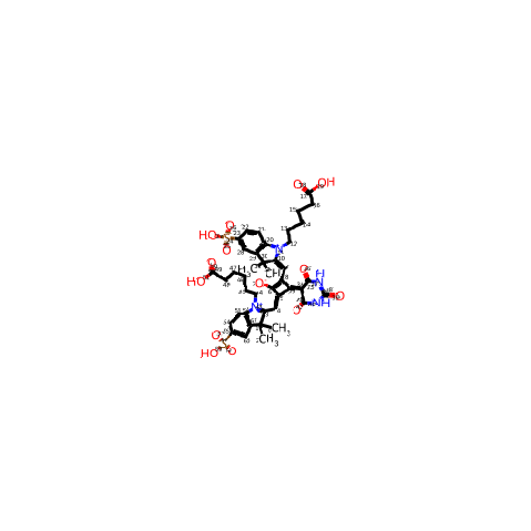 CC1(C)C(/C=C2C([O-])=C(/C=C3/N(CCCCCC(=O)O)c4ccc(S(=O)(=O)O)cc4C3(C)C)C\2=C2C(=O)NC(=O)NC2=O)=[N+](CCCCCC(=O)O)c2ccc(S(=O)(=O)O)cc21